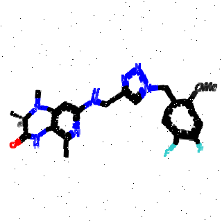 COc1cc(F)c(F)cc1Cn1cc(CNc2cc3c(c(C)n2)NC(=O)[C@H](C)N3C)nn1